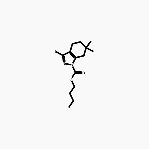 CCCCOC(=O)n1nc(I)c2c1CC(C)(C)CC2